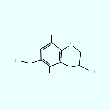 COc1cc(N)c2c(c1N)NC(C)CN2